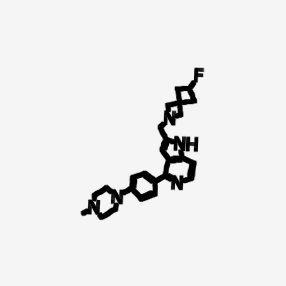 CN1CCN(c2ccc(-c3nccc4[nH]c(CN5CC6(CC(F)C6)C5)cc34)cc2)CC1